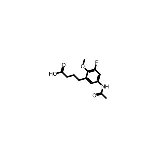 COc1c(F)cc(NC(C)=O)cc1CCCC(=O)O